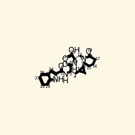 O=C(N[C@@H](CC1CC1)C(=O)N[C@@H](CN1CCCCC1=O)C(=O)O)c1cc2ccccc2[nH]1